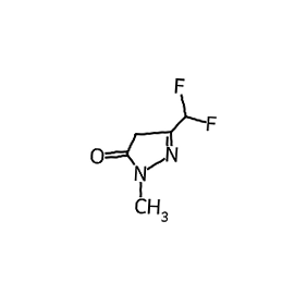 CN1N=C(C(F)F)CC1=O